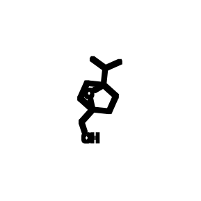 CC(C)C12CCC(CO)(CC1)O2